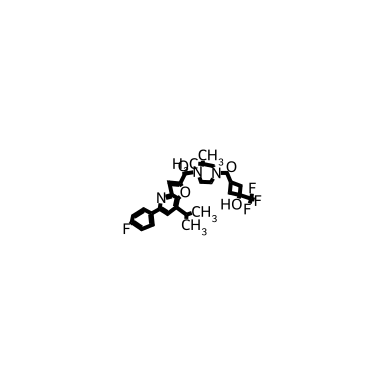 CC(C)c1cc(-c2ccc(F)cc2)nc2cc(C(=O)N3CCN(C(=O)C4CC(O)(C(F)(F)F)C4)CC3(C)C)oc12